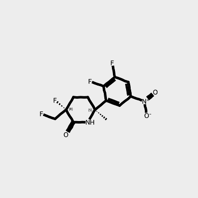 C[C@@]1(c2cc([N+](=O)[O-])cc(F)c2F)CC[C@](F)(CF)C(=O)N1